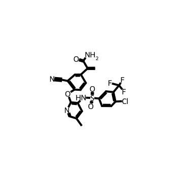 C=C(C(N)=O)c1ccc(Oc2ncc(C)cc2NS(=O)(=O)c2ccc(Cl)c(C(F)(F)F)c2)c(C#N)c1